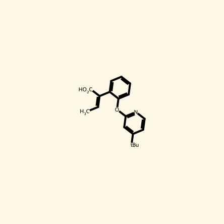 CC=C(C(=O)O)c1ccccc1Oc1cc(C(C)(C)C)ccn1